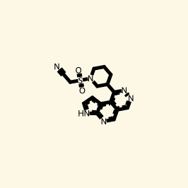 N#CCS(=O)(=O)N1CCCC(c2nncc3cnc4[nH]ccc4c23)C1